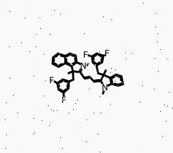 CN1/C(=C/C=C/C2=[N+](C)c3ccc4ccccc4c3C2(C)Cc2cc(F)cc(F)c2)C(C)(Cc2cc(F)cc(F)c2)c2ccccc21